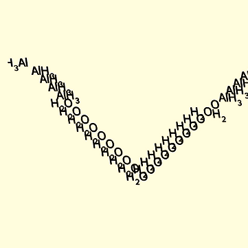 O.O.O.O.O.O.O.O.O.O.O.O.O.O.O.O.O.O.O.O.[AlH3].[AlH3].[AlH3].[AlH3].[AlH3].[AlH3].[AlH3].[AlH3].[AlH3].[AlH3]